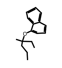 CCCC(C)(CC)Oc1cccc2ccccc12